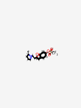 C[C@@H]1CCCN1CCc1cc2ccc(OS(=O)(=O)C(F)(F)F)cc2o1